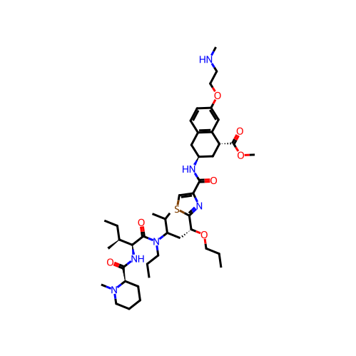 CCCO[C@H](CC(C(C)C)N(CCC)C(=O)[C@@H](NC(=O)[C@H]1CCCCN1C)[C@@H](C)CC)c1nc(C(=O)N[C@H]2Cc3ccc(OCCNC)cc3[C@H](C(=O)OC)C2)cs1